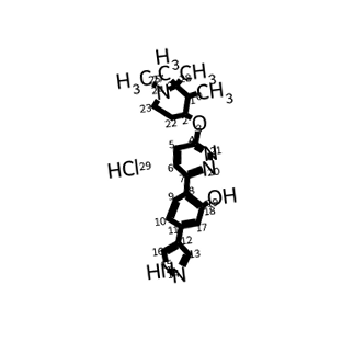 CC1C(Oc2ccc(-c3ccc(-c4cn[nH]c4)cc3O)nn2)CCN(C)C1(C)C.Cl